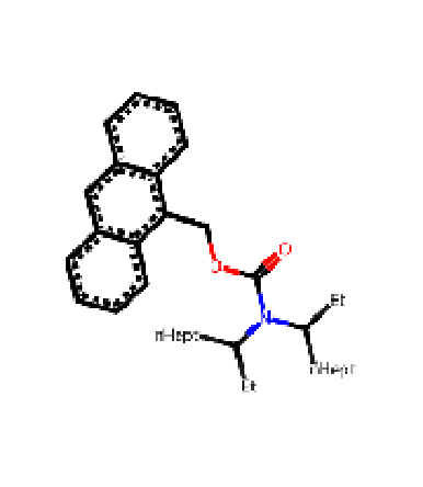 CCCCCCCC(CC)N(C(=O)OCc1c2ccccc2cc2ccccc12)C(CC)CCCCCCC